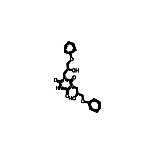 O=c1[nH]c(=O)n(CC(O)COc2ccccc2)c(=O)n1CC(O)COc1ccccc1